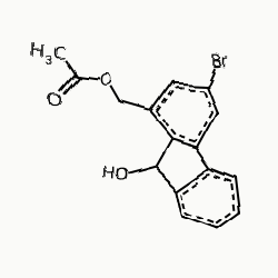 CC(=O)OCc1cc(Br)cc2c1C(O)c1ccccc1-2